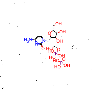 CO.Nc1ccn(C[C@@H]2O[C@H](CO)[C@@H](O)[C@H]2O)c(=O)n1.O=P(O)(O)O.O=P(O)(O)O